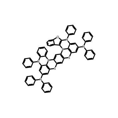 c1ccc(N(c2ccccc2)c2cc3c4c(c2)N(c2ccccc2)c2ccccc2B4c2cc4c(cc2S3)Sc2cc(N(c3ccccc3)c3ccccc3)cc3c2B4c2c(oc4ccccc24)N3c2ccccc2)cc1